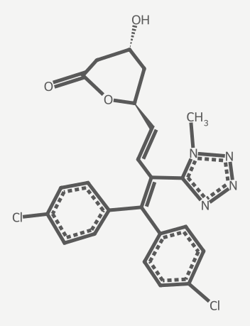 Cn1nnnc1C(/C=C/[C@@H]1C[C@@H](O)CC(=O)O1)=C(c1ccc(Cl)cc1)c1ccc(Cl)cc1